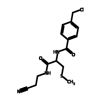 CSCC(NC(=O)c1ccc(CCl)cc1)C(=O)NCCC#N